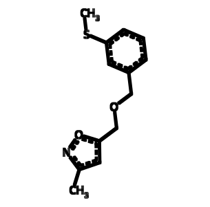 CSc1cccc(COCc2cc(C)no2)c1